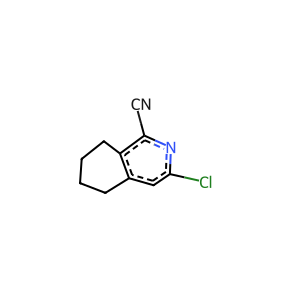 N#Cc1nc(Cl)cc2c1CCCC2